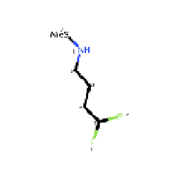 CSNCCCC(F)F